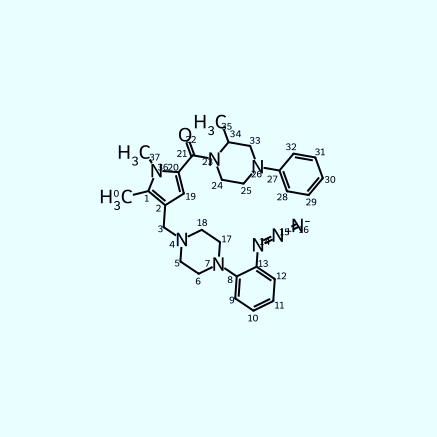 Cc1c(CN2CCN(c3ccccc3N=[N+]=[N-])CC2)cc(C(=O)N2CCN(c3ccccc3)CC2C)n1C